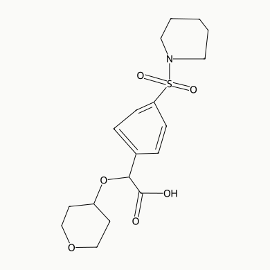 O=C(O)C(OC1CCOCC1)c1ccc(S(=O)(=O)N2CCCCC2)cc1